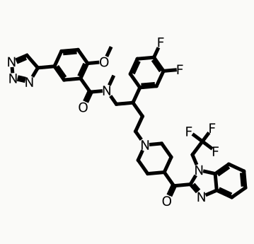 COc1ccc(C2C=NN=N2)cc1C(=O)N(C)CC(CCN1CCC(C(=O)c2nc3ccccc3n2CC(F)(F)F)CC1)c1ccc(F)c(F)c1